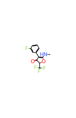 CNC1=C(c2cccc(F)c2)C(=O)C(C(F)(F)F)O1